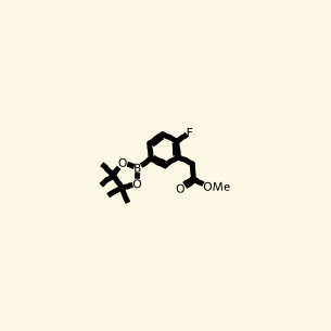 COC(=O)Cc1cc(B2OC(C)(C)C(C)(C)O2)ccc1F